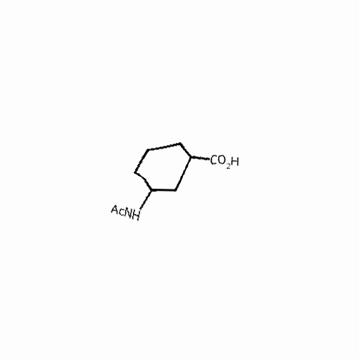 CC(=O)NC1CCCC(C(=O)O)C1